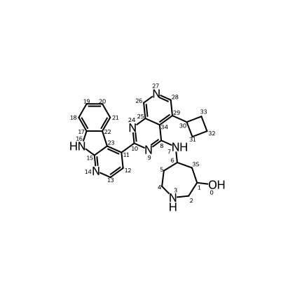 OC1CNCCC(Nc2nc(-c3ccnc4[nH]c5ccccc5c34)nc3cncc(C4CCC4)c23)C1